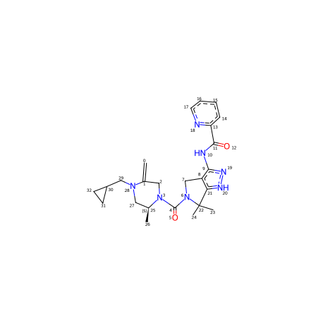 C=C1CN(C(=O)N2Cc3c(NC(=O)c4ccccn4)n[nH]c3C2(C)C)[C@@H](C)CN1CC1CC1